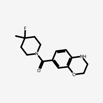 CC1(F)CCN(C(=O)c2ccc3c(c2)OCCN3)CC1